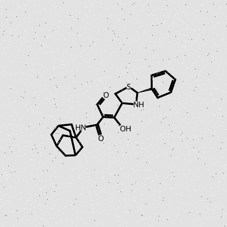 O=C/C(C(=O)NC12CC3CC(CC(C3)C1)C2)=C(/O)C1CS[C@@H](c2ccccc2)N1